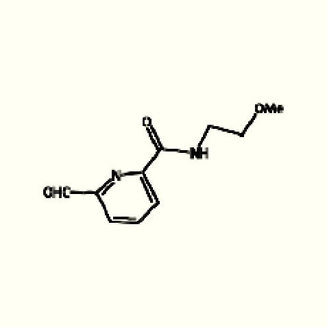 COCCNC(=O)c1cccc(C=O)n1